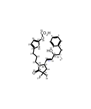 C[C@@H](Cc1ccccc1)[C@H](O)/C=C/[C@H]1CC(F)(F)C(=O)N1CCCc1ccc(OC(=O)O)s1